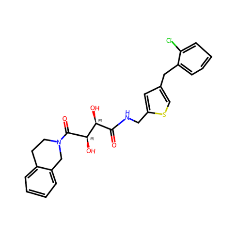 O=C(NCc1cc(Cc2ccccc2Cl)cs1)[C@H](O)[C@@H](O)C(=O)N1CCc2ccccc2C1